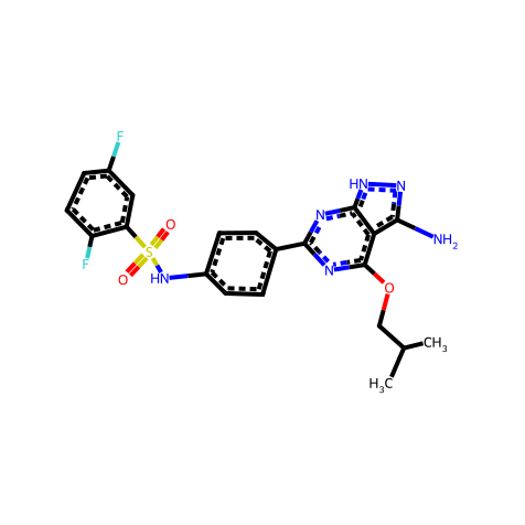 CC(C)COc1nc(-c2ccc(NS(=O)(=O)c3cc(F)ccc3F)cc2)nc2[nH]nc(N)c12